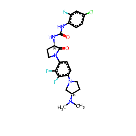 CN(C)[C@@H]1CCN(c2ccc(N3CC[C@@H](NC(=O)Nc4ccc(Cl)cc4F)C3=O)c(F)c2F)C1